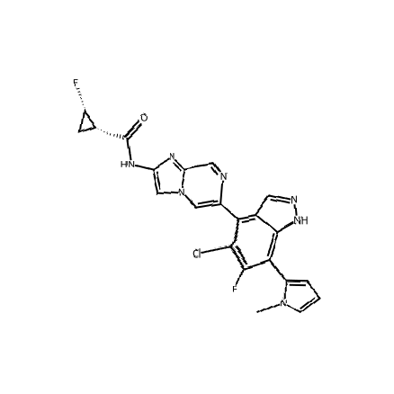 Cn1cccc1-c1c(F)c(Cl)c(-c2cn3cc(NC(=O)[C@@H]4C[C@@H]4F)nc3cn2)c2cn[nH]c12